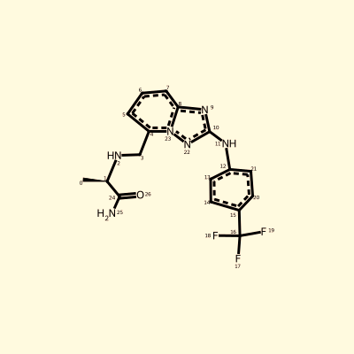 C[C@@H](NCc1cccc2nc(Nc3ccc(C(F)(F)F)cc3)nn12)C(N)=O